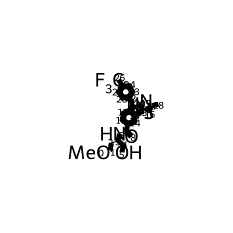 COCC[C@@H](CO)NC(=O)c1ccc2c(c1)c1sc(C)nc1n2-c1ccc(C(F)(F)F)cc1